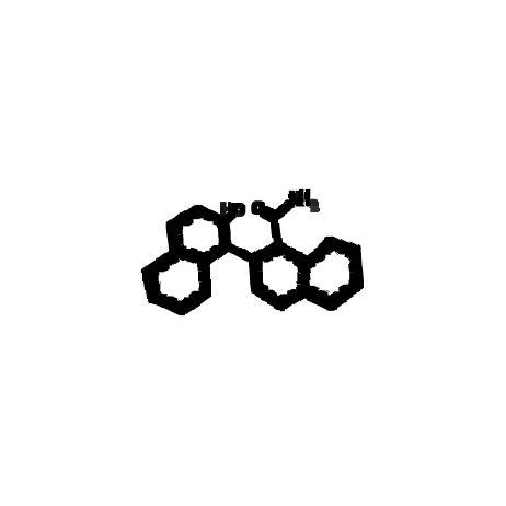 NC(=O)c1c(-c2c(O)ccc3ccccc23)ccc2ccccc12